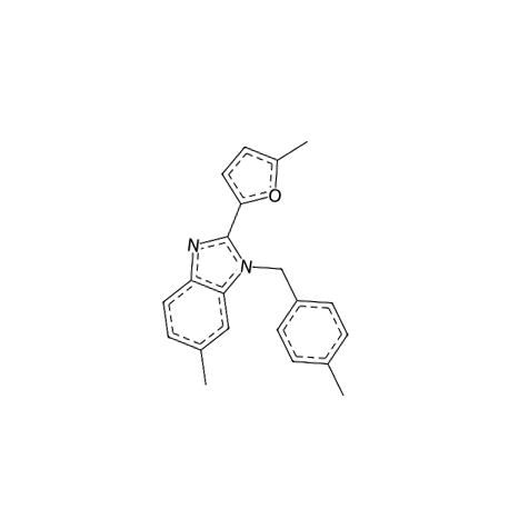 Cc1ccc(Cn2c(-c3ccc(C)o3)nc3ccc(C)cc32)cc1